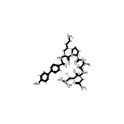 CCCCc1ccc(-c2ccc(C(=O)N[C@@H](CCCCN)C(=O)N3CCC[C@H]3C(=O)N[C@@H](C)C(=O)N[C@@H](CC(N)=O)C(=O)C[C@@H](C)B(O)O)cc2)cc1